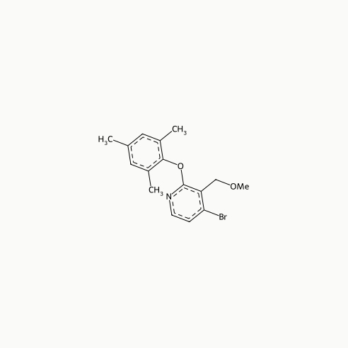 COCc1c(Br)ccnc1Oc1c(C)cc(C)cc1C